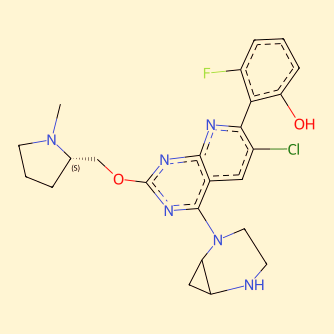 CN1CCC[C@H]1COc1nc(N2CCNC3CC32)c2cc(Cl)c(-c3c(O)cccc3F)nc2n1